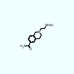 CC(=O)NCCN1CCc2cc(C(N)=O)ccc2C1